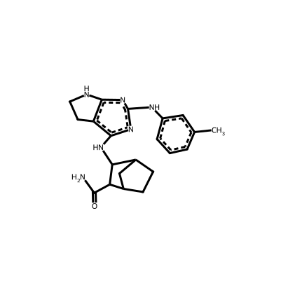 Cc1cccc(Nc2nc3c(c(NC4C5CCC(C5)C4C(N)=O)n2)CCN3)c1